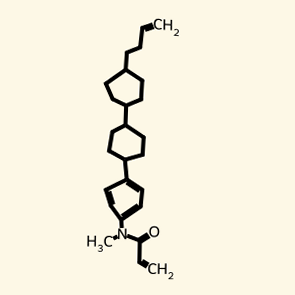 C=CCCC1CCC(C2CCC(c3ccc(N(C)C(=O)C=C)cc3)CC2)CC1